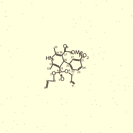 C=CCOP(=O)(OCC=C)C1=C(C)NC(C)=C(C(=O)OC)C1c1cccc([N+](=O)[O-])c1